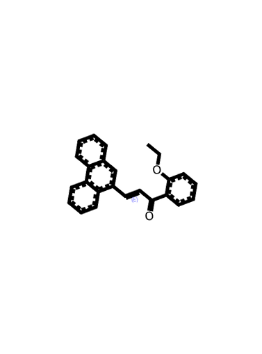 CCOc1ccccc1C(=O)/C=C/c1cc2ccccc2c2ccccc12